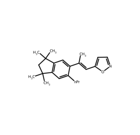 CCCc1cc2c(cc1C(C)=Cc1ccno1)C(C)(C)CC2(C)C